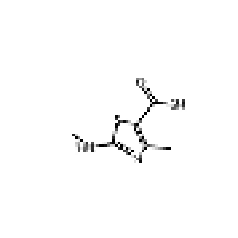 CNc1nc(C)c(C(=O)S)s1